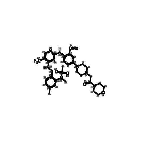 COc1cc(N2CCN(CC(=O)N3CCOCC3)CC2)ccc1Nc1ncc(C(F)(F)F)c(NCc2ccc(C)cc2N(C)S(C)(=O)=O)n1